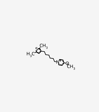 COc1cc[n+](CCCCCCc2cc(C)sc2C)cc1